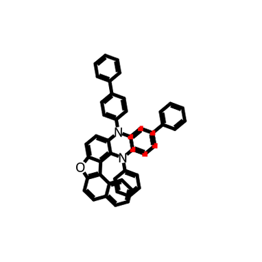 c1ccc(-c2ccc(N(c3ccccc3)c3ccc4oc5ccc6ccccc6c5c4c3N(c3ccccc3)c3ccc(-c4ccccc4)cc3)cc2)cc1